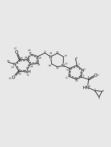 Cc1nc(C(=O)NC2CC2)ccc1N1CCN(Cc2cc3[nH]c(=O)n(C)c(=O)c3s2)CC1